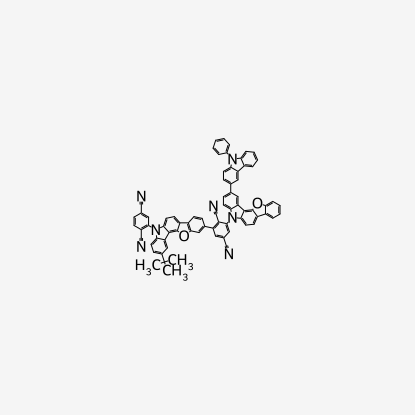 CC(C)(C)c1ccc2c(c1)c1c3oc4cc(-c5cc(C#N)cc(-n6c7ccc(-c8ccc9c(c8)c8ccccc8n9-c8ccccc8)cc7c7c8oc9ccccc9c8ccc76)c5C#N)ccc4c3ccc1n2-c1cc(C#N)ccc1C#N